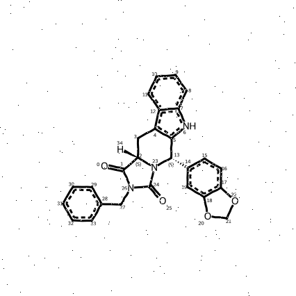 O=C1[C@@H]2Cc3c([nH]c4ccccc34)[C@H](c3ccc4c(c3)OCO4)N2C(=O)N1Cc1ccccc1